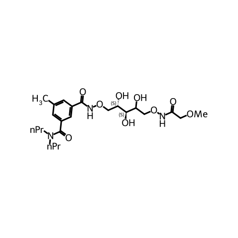 CCCN(CCC)C(=O)c1cc(C)cc(C(=O)NOC[C@H](O)[C@H](O)C(O)CONC(=O)COC)c1